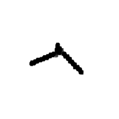 CCCCCCCCCCCCCCCCSc1cc(CC)cc(SCCCCCCCCCCCCCCCC)c1